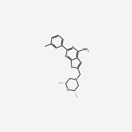 Cc1cccc(-c2nc(N)c3cc(CN4C[C@@H](C)O[C@@H](C)C4)sc3n2)c1